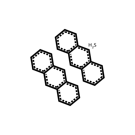 S.c1ccc2cc3ccccc3cc2c1.c1ccc2cc3ccccc3cc2c1